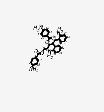 Nc1ccc(C(=O)OCCC(OC(=O)c2ccc(N)cc2)C(Cc2ccccc2N)c2ccccc2N)cc1